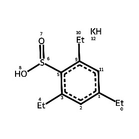 CCc1cc(CC)c(S(=O)O)c(CC)c1.[KH]